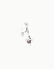 CC1=C(OC(=O)OCCCCCN(CC(O)COc2cccc3ccccc23)CC(O)COc2cccc3ccccc23)C(c2ccccc2[N+](=O)[O-])C(OC(=O)OCC(C)C)=C(C)N1